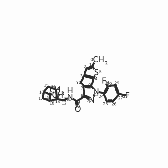 Cc1cc2c(s1)-c1c(c(C(=O)NCC3CCC4CC3C4(C)C)nn1-c1ccc(F)cc1F)C2